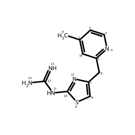 Cc1ccnc(Cc2csc(NC(=N)N)n2)c1